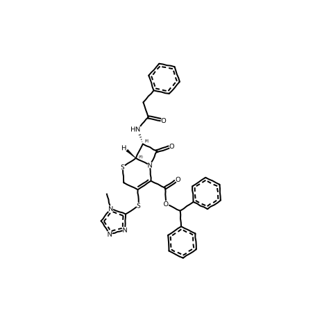 Cn1cnnc1SC1=C(C(=O)OC(c2ccccc2)c2ccccc2)N2C(=O)[C@@H](NC(=O)Cc3ccccc3)[C@H]2SC1